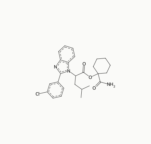 CC(C)CC(C(=O)OC1(C(N)=O)CCCCC1)n1c(-c2cccc(Cl)c2)nc2ccccc21